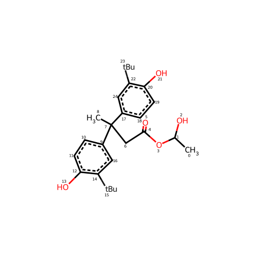 CC(O)OC(=O)CC(C)(c1ccc(O)c(C(C)(C)C)c1)c1ccc(O)c(C(C)(C)C)c1